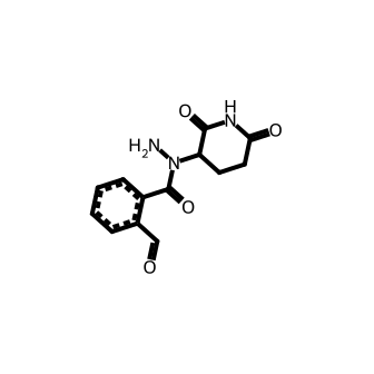 NN(C(=O)c1ccccc1C=O)C1CCC(=O)NC1=O